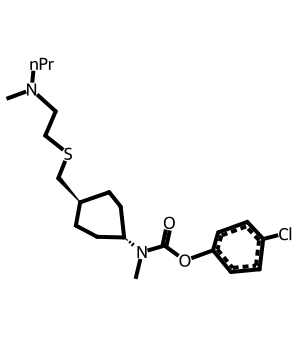 CCCN(C)CCSC[C@H]1CC[C@H](N(C)C(=O)Oc2ccc(Cl)cc2)CC1